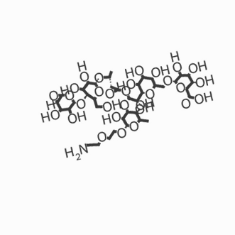 CC1O[C@@H](OCCOCCN)C(O)C(OC(OC2O[C@@H]2C(C)O[C@@H]2OC(CO)[C@@H](O[C@H]3OC4O[C@@H]4C(O)C3O)C(O)C2O)[C@@H](O)[C@H]2OC(CO[C@H]3OC(C(=O)O)[C@@H](O)C(O)C3O)[C@@H](O)C(O)C2O)[C@H]1O